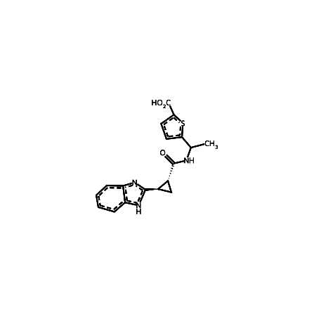 CC(NC(=O)[C@@H]1C[C@H]1c1nc2ccccc2[nH]1)c1ccc(C(=O)O)s1